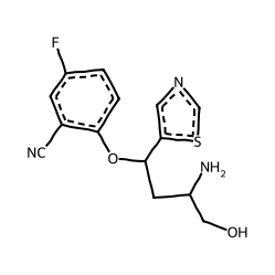 N#Cc1cc(F)ccc1OC(CC(N)CO)c1cncs1